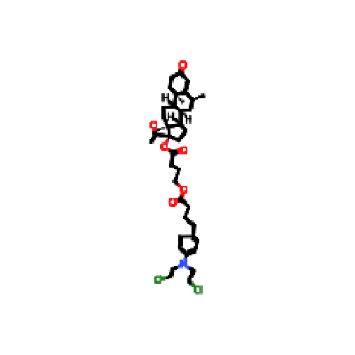 CC(=O)[C@@]1(OC(=O)CCCOC(=O)CCCc2ccc(N(CCCl)CCCl)cc2)CC[C@H]2[C@@H]3C[C@H](C)C4=CC(=O)CC[C@]4(C)[C@H]3CC[C@@]21C